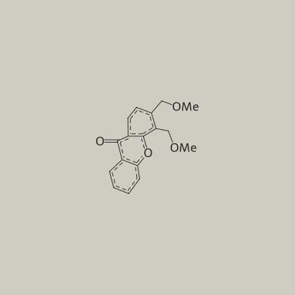 COCc1ccc2c(=O)c3ccccc3oc2c1COC